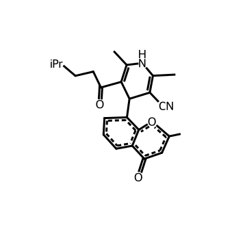 CC1=C(C#N)C(c2cccc3c(=O)cc(C)oc23)C(C(=O)CCC(C)C)=C(C)N1